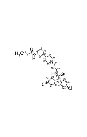 CCCC(=O)Nc1cccc(C2CCN(CCCNC(=O)C(c3ccc(Cl)cc3)c3ccc(Cl)cc3)CC2)c1